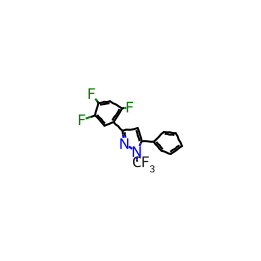 Fc1cc(F)c(-c2cc(-c3ccccc3)n(C(F)(F)F)n2)cc1F